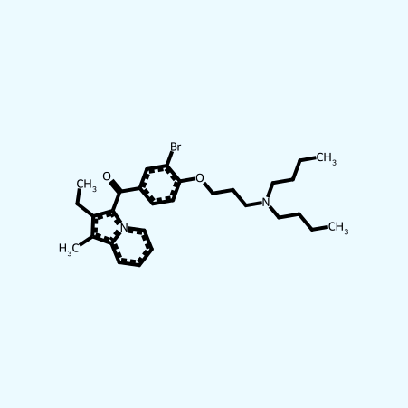 CCCCN(CCCC)CCCOc1ccc(C(=O)c2c(CC)c(C)c3ccccn23)cc1Br